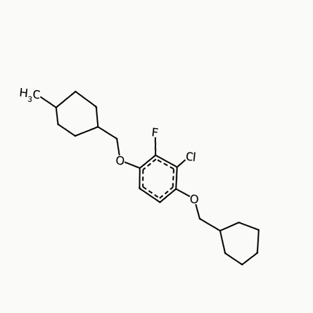 CC1CCC(COc2ccc(OCC3CCCCC3)c(Cl)c2F)CC1